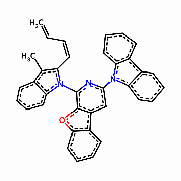 C=C/C=C\c1c(C)c2ccccc2n1-c1nc(-n2c3ccccc3c3ccccc32)cc2c1oc1ccccc12